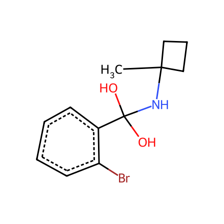 CC1(NC(O)(O)c2ccccc2Br)CCC1